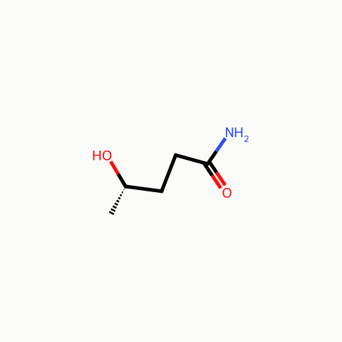 C[C@H](O)CCC(N)=O